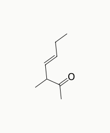 CC/C=C/C(C)C(C)=O